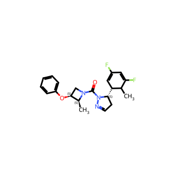 CC1C(F)=CC(F)=CC1[C@@H]1CC=NN1C(=O)N1C[C@H](Oc2ccccc2)[C@@H]1C